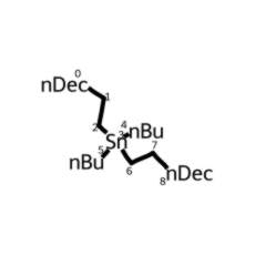 CCCCCCCCCCC[CH2][Sn]([CH2]CCC)([CH2]CCC)[CH2]CCCCCCCCCCC